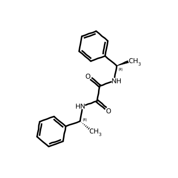 C[C@@H](NC(=O)C(=O)N[C@H](C)c1ccccc1)c1ccccc1